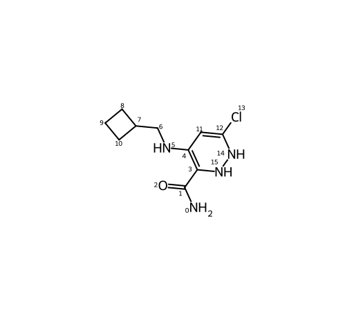 NC(=O)C1=C(NCC2CCC2)C=C(Cl)NN1